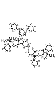 CC1(C)c2ccccc2-c2cc3c4c(n(-c5ccccc5)c3cc21)=CCC(c1ccc2c(c1)c1cc3c(cc1n2-c1nc(-c2ccccc2)cc(-c2ccccc2)n1)C(C)(C)c1ccccc1-3)C=4